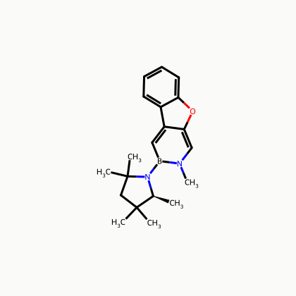 C[C@@H]1N(B2C=c3c(oc4ccccc34)=CN2C)C(C)(C)CC1(C)C